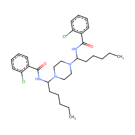 CCCCCC(NC(=O)c1ccccc1Cl)N1CCN(C(CCCCC)NC(=O)c2ccccc2Cl)CC1